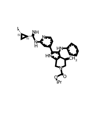 C=C1CN(C(=O)OC(C)C)Cc2[nH]c(-c3ccnc(NC(=N)[C@@H]4C[C@@H]4I)c3)c(Nc3ccccc3)c21